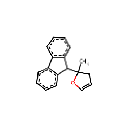 CC1(C2c3ccccc3-c3ccccc32)CC=CO1